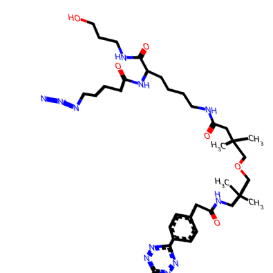 Cc1nnc(-c2ccc(CC(=O)NCC(C)(C)COCC(C)(C)CC(=O)NCCCCC(NC(=O)CCCCN=[N+]=[N-])C(=O)NCCCO)cc2)nn1